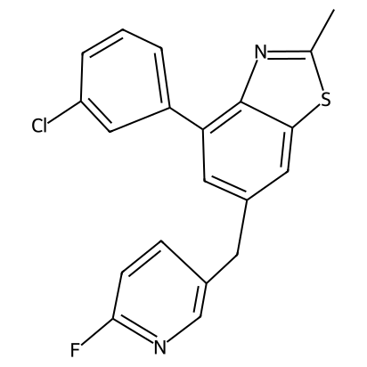 Cc1nc2c(-c3cccc(Cl)c3)cc(Cc3ccc(F)nc3)cc2s1